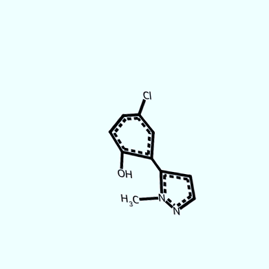 Cn1nccc1-c1cc(Cl)ccc1O